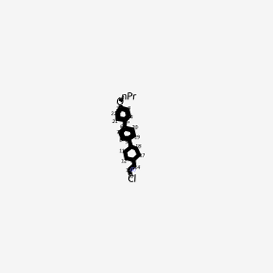 CCCOc1ccc(-c2ccc(C3CCC(/C=C/Cl)CC3)cc2)cc1